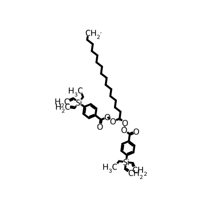 [CH2]CCCCCCCCCCCCCC[C](OOC(=O)c1ccc([Si](C=C)(C=C)CC)cc1)OOC(=O)c1ccc([Si](C=C)(C=C)CC)cc1